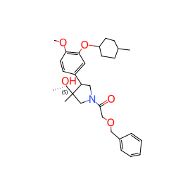 COc1ccc(C2CN(C(=O)COCc3ccccc3)CC2(C)[C@H](C)O)cc1OC1CCC(C)CC1